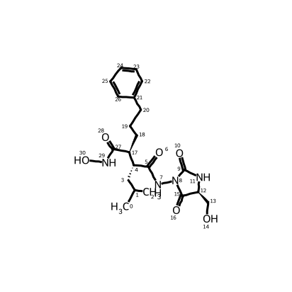 CC(C)C[C@@H](C(=O)NN1C(=O)N[C@@H](CO)C1=O)[C@H](CCCc1ccccc1)C(=O)NO